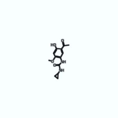 COc1cc(O)c(C(C)=O)cc1NC(=O)NC1CC1